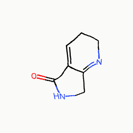 O=C1NCC2=NCCC=C12